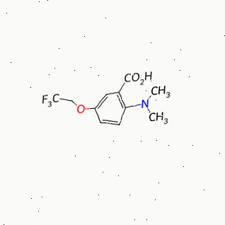 CN(C)c1ccc(OCC(F)(F)F)cc1C(=O)O